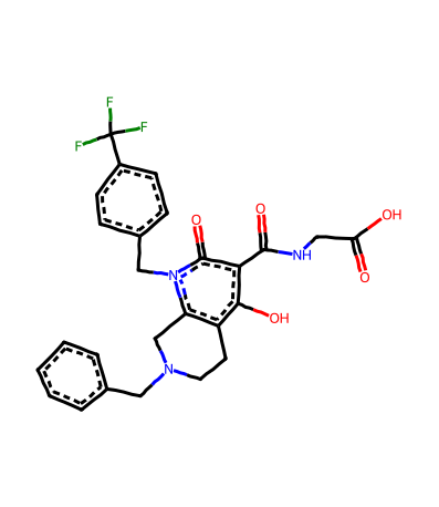 O=C(O)CNC(=O)c1c(O)c2c(n(Cc3ccc(C(F)(F)F)cc3)c1=O)CN(Cc1ccccc1)CC2